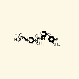 CN(C)CCN1CCC(N(C)C(=O)Nc2cc(Oc3ccc(N)c(F)c3)ccn2)CC1